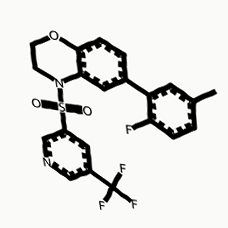 Cc1ccc(F)c(-c2ccc3c(c2)N(S(=O)(=O)c2cncc(C(F)(F)F)c2)CCO3)c1